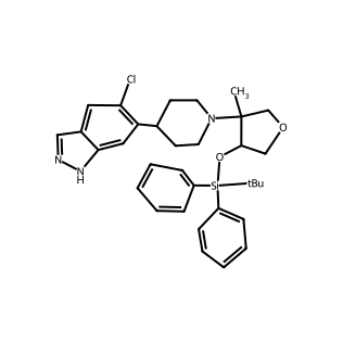 CC1(N2CCC(c3cc4[nH]ncc4cc3Cl)CC2)COCC1O[Si](c1ccccc1)(c1ccccc1)C(C)(C)C